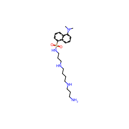 CN(C)c1cccc2c(S(=O)(=O)NCCCNCCCCNCCCN)cccc12